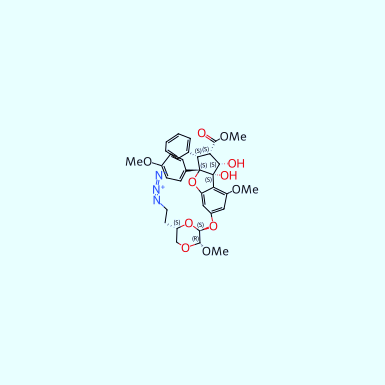 COC(=O)[C@H]1[C@@H](c2ccccc2)[C@@]2(c3ccc(OC)cc3)Oc3cc(O[C@@H]4O[C@@H](CCN=[N+]=[N-])CO[C@H]4OC)cc(OC)c3[C@]2(O)[C@H]1O